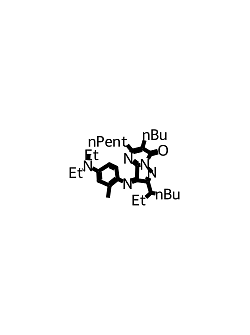 CCCCCc1nc2n(c(=O)c1CCCC)N=C(C(CC)CCCC)C2=Nc1ccc(N(CC)CC)cc1C